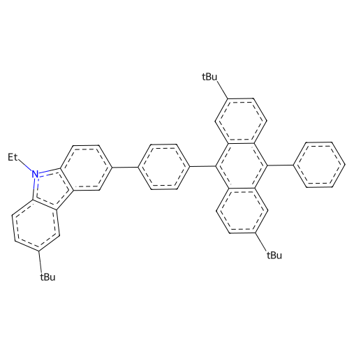 CCn1c2ccc(-c3ccc(-c4c5ccc(C(C)(C)C)cc5c(-c5ccccc5)c5ccc(C(C)(C)C)cc45)cc3)cc2c2cc(C(C)(C)C)ccc21